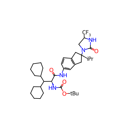 CC(C)C1(N2CC(C(F)(F)F)NC2=O)Cc2ccc(NC(=O)[C@@H](NC(=O)OC(C)(C)C)C(C3CCCCC3)C3CCCCC3)cc2C1